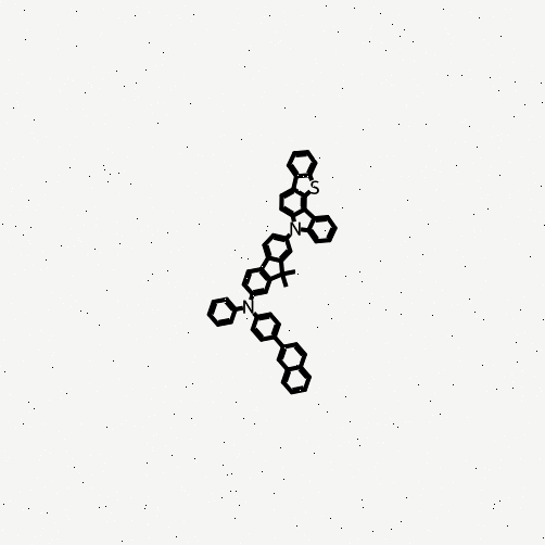 CC1(C)c2cc(N(c3ccccc3)c3ccc(-c4ccc5ccccc5c4)cc3)ccc2-c2ccc(-n3c4ccccc4c4c5sc6ccccc6c5ccc43)cc21